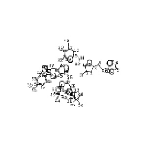 C=C1C[C@H](CCC2OCCO2)O[C@H]1CC[C@H]1C[C@H](C)C(=C)[C@@H](C[C@@H]2O[C@H](C[C@@H](CO[Si](C)(C)C(C)(C)C)O[Si](C)(C)C(C)(C)C)C[C@H]2CS(=O)(=O)c2ccc(CC)cc2)O1